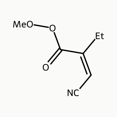 CC/C(=C/C#N)C(=O)OOC